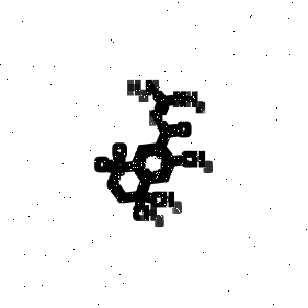 Cc1cc2c(cc1C(=O)N=C(N)N)S(=O)(=O)CCC2(C)C